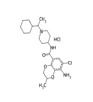 CC1COc2c(C(=O)NC3CCN(C(C)C4CCCCC4)CC3)cc(Cl)c(N)c2O1.Cl